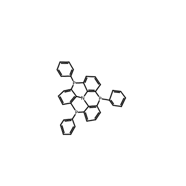 c1ccc(P2c3cccc4c3N3c5c2cccc5P(c2ccccc2)c2cccc(c23)P4c2ccccc2)cc1